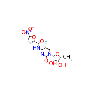 C[C@H]1O[C@@H](n2cc(F)c(NC(=O)c3ccc([N+](=O)[O-])o3)nc2=O)C(O)C1O